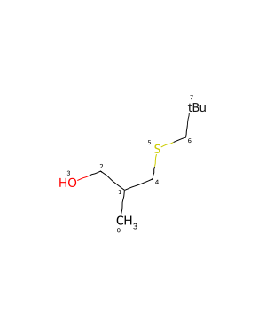 CC(CO)CSCC(C)(C)C